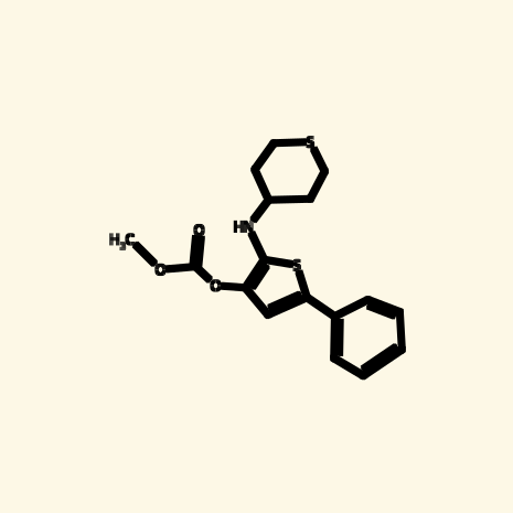 COC(=O)Oc1cc(-c2ccccc2)sc1NC1CCSCC1